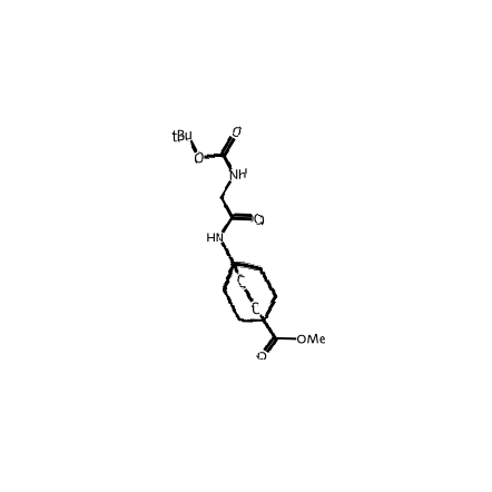 COC(=O)C12CCC(NC(=O)CNC(=O)OC(C)(C)C)(CC1)CC2